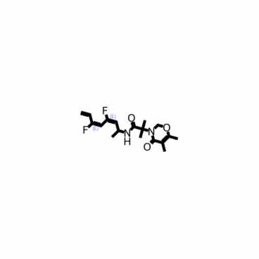 C=C/C(F)=C\C(F)=C/C(C)NC(=O)C(C)(C)N1COC(C)=C(C)C1=O